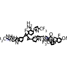 COc1ccc(-n2ccc(C(F)(F)F)n2)c(CNC(=O)/C(N)=C/N(N)Cc2cn3cc(C4CC4C4(c5ccc(-n6ccc(C(F)(F)F)n6)c(CN)c5F)CC4c4ccc5nc(CN(N)/C=C(\N)C(=O)O)cn5c4)ccc3n2)c1F